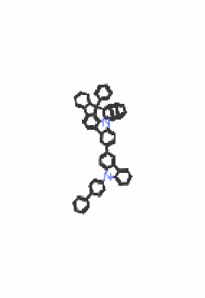 c1ccc(-c2ccc(-n3c4ccccc4c4cc(-c5ccc6c(c5)c5ccc7c(c5n6-c5ccccc5)C(c5ccccc5)(c5ccccc5)c5ccccc5-7)ccc43)cc2)cc1